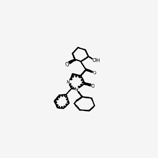 O=C1CCCC(O)C1C(=O)c1cnc(-c2ccccc2)n(C2CCCCC2)c1=O